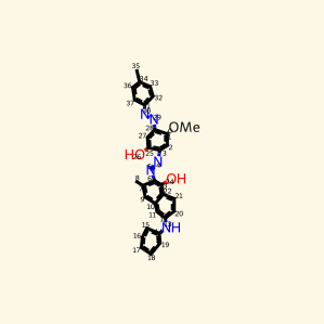 COc1cc(N=Nc2c(C)cc3cc(Nc4ccccc4)ccc3c2O)c(O)cc1N=Nc1ccc(C)cc1